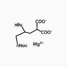 CCCCCCCCCCC(CCCC)CC(C(=O)[O-])C(=O)[O-].[Mg+2]